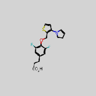 O=C(O)CCc1cc(F)c(OCc2sccc2N2C=CCC2)c(F)c1